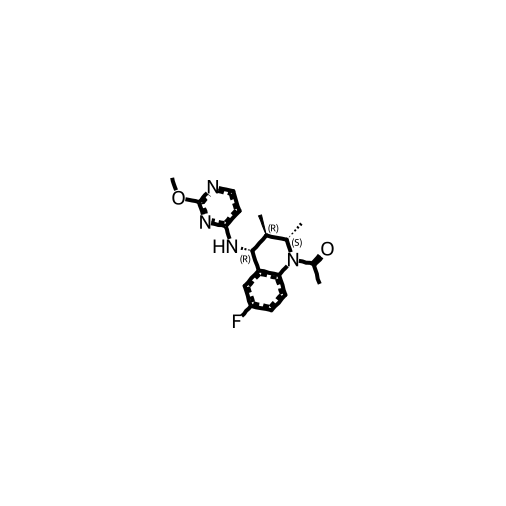 COc1nccc(N[C@H]2c3cc(F)ccc3N(C(C)=O)[C@@H](C)[C@@H]2C)n1